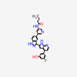 CCCC(=O)Nc1cncc(-c2ccc3[nH]nc(-c4cc5c(-c6cc(O)cc(F)c6)ccnc5[nH]4)c3c2)c1